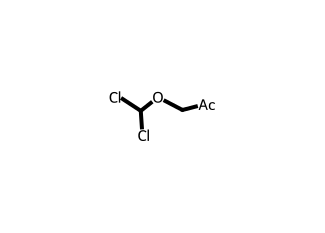 CC(=O)COC(Cl)Cl